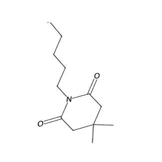 [CH2]CCCCN1C(=O)CC(C)(C)CC1=O